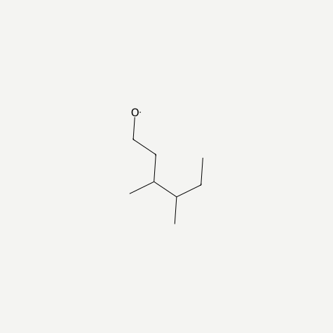 CCC(C)C(C)CC[O]